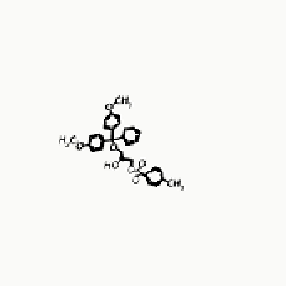 COc1ccc(C(OC[C@@H](O)COS(=O)(=O)c2ccc(C)cc2)(c2ccccc2)c2ccc(OC)cc2)cc1